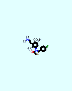 CCN(CC)CCc1c(C(=O)O)ccc(N2C(=O)CSC2c2ccc(F)cc2)c1C